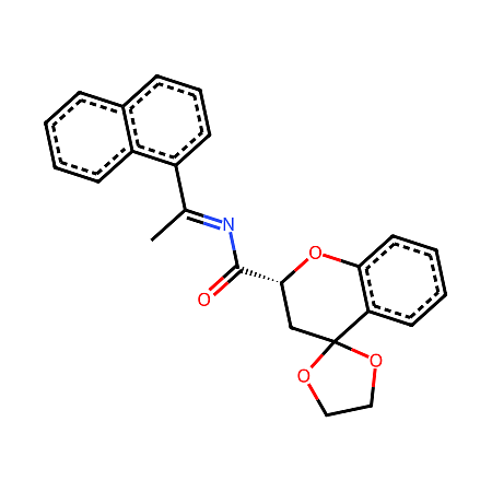 C/C(=N\C(=O)[C@H]1CC2(OCCO2)c2ccccc2O1)c1cccc2ccccc12